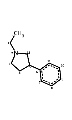 CCN1CCC(c2ccccc2)C1